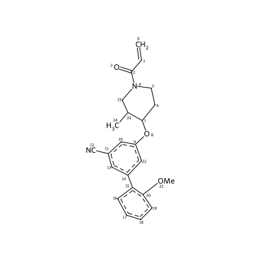 C=CC(=O)N1CCC(Oc2cc(C#N)cc(-c3ccccc3OC)c2)C(C)C1